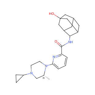 C[C@@H]1CN(C2CC2)CCN1c1cccc(C(=O)NC2C3CC4CC2CC(O)(C4)C3)n1